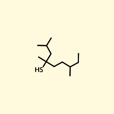 CCC(C)CCC(C)(S)CC(C)C